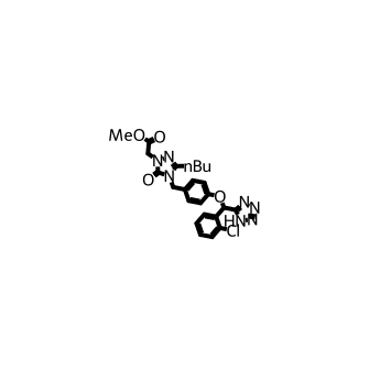 CCCCc1nn(CC(=O)OC)c(=O)n1Cc1ccc(OC(c2nnn[nH]2)c2ccccc2Cl)cc1